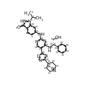 CC(C)n1[nH]c(=O)c2ccc(Nc3ncc(-c4nc(C56CCN(CC5)CC6)no4)c(N[C@H](CO)c4ccccc4)n3)cc21